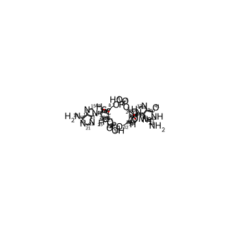 CO[C@H]1[C@H]2OP(=O)(O)OCC34CC[C@@H]3[C@@H](n3cnc5c(N)ncnc53)[C@H](F)[C@@H]4OP(=O)(O)OC[C@H]1O[C@H]2n1cnc2c(=O)[nH]c(N)nc21